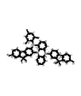 Cc1cc(C)c(B2c3cc4c(cc3N3c5ccccc5N(c5ccc6c(c5)C(C)(C)c5cc(C)ccc5-6)c5cccc2c53)C(C)(C)c2cc(C)ccc2-4)c(C)c1